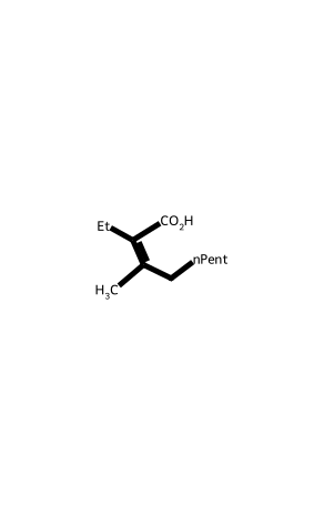 CCCCCCC(C)=C(CC)C(=O)O